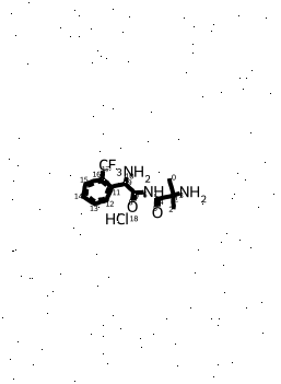 CC(C)(N)C(=O)NC(=O)C(N)c1ccccc1C(F)(F)F.Cl